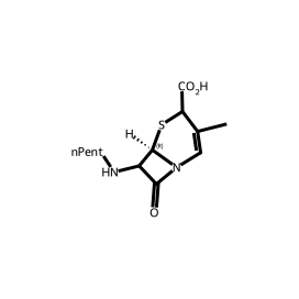 CCCCCNC1C(=O)N2C=C(C)C(C(=O)O)S[C@H]12